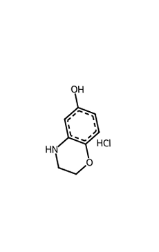 Cl.Oc1ccc2c(c1)NCCO2